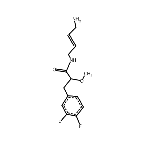 COC(Cc1ccc(F)c(F)c1)C(=O)NC/C=C/CN